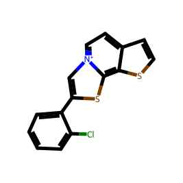 Clc1ccccc1-c1c[n+]2ccc3ccsc3c2s1